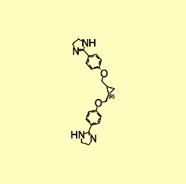 c1cc(C2=NCCN2)ccc1OCC1C[C@H]1COc1ccc(C2=NCCN2)cc1